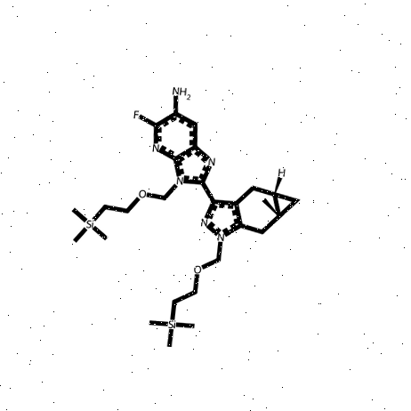 C[C@@]12Cc3c(c(-c4nc5cc(N)c(F)nc5n4COCC[Si](C)(C)C)nn3COCC[Si](C)(C)C)C[C@@H]1C2